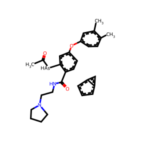 CC(=O)[AsH]c1cc(Oc2ccc(C)c(C)c2)ccc1C(=O)NCCN1CCCC1.c1cc2cc-2c1